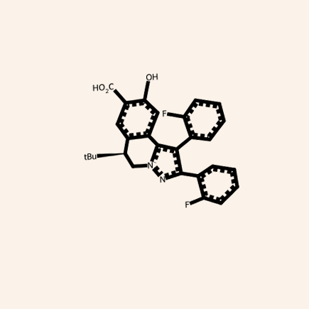 CC(C)(C)[C@@H]1Cn2nc(-c3ccccc3F)c(-c3ccccc3F)c2-c2cc(O)c(C(=O)O)cc21